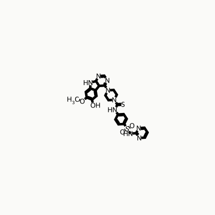 COc1cc2c(cc1O)C1C(N3CCN(C(=S)Nc4ccc(S(=O)(=O)Nc5ncccn5)cc4)CC3)=NC=NC1N2